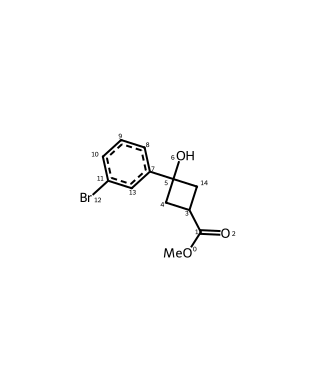 COC(=O)C1CC(O)(c2cccc(Br)c2)C1